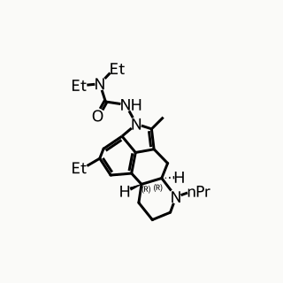 CCCN1CCC[C@@H]2c3cc(CC)cc4c3c(c(C)n4NC(=O)N(CC)CC)C[C@H]21